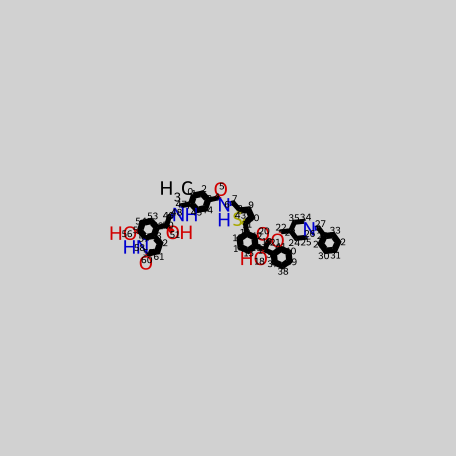 Cc1cc(C(=O)NCc2ccc(-c3cccc(C(O)(C(=O)OCC4CCN(Cc5ccccc5)CC4)c4ccccc4)c3)s2)ccc1CNCC(O)c1ccc(O)c2[nH]c(=O)ccc12